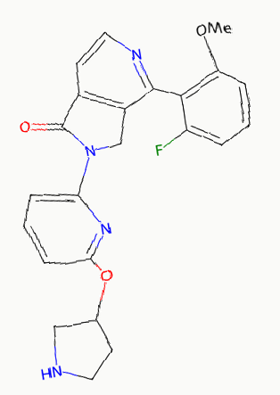 COc1cccc(F)c1-c1nccc2c1CN(c1cccc(OC3CCNC3)n1)C2=O